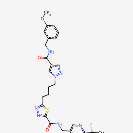 CC(F)(F)c1ccc(CNC(=O)c2nnc(CCCCn3cc(C(=O)NCc4cccc(OC(F)(F)F)c4)nn3)s2)cn1